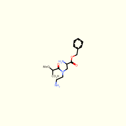 COC(C(=O)O)C(=O)N(CCN)CC(N)C(=O)OCc1ccccc1